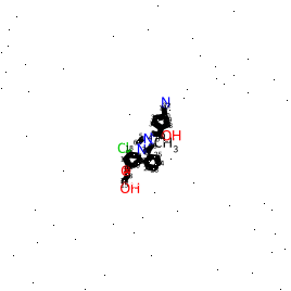 C[C@@](O)(CN1CCN(c2ccc(OCCO)cc2Cl)[C@H](c2ccccc2)C1)c1ccc(C#N)cc1